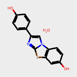 O.Oc1ccc(-c2cn3c(n2)sc2cc(O)ccc23)cc1